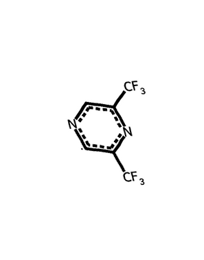 FC(F)(F)c1[c]ncc(C(F)(F)F)n1